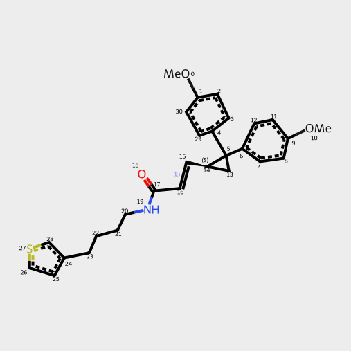 COc1ccc(C2(c3ccc(OC)cc3)C[C@H]2/C=C/C(=O)NCCCCc2ccsc2)cc1